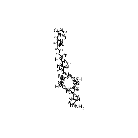 Nc1ncnc2c1ncn2[C@@H]1O[C@@H]2CO[P@@](=O)(S)O[C@H]3[C@@H](F)[C@H](n4cnc5c(NC(=O)CCCn6cc(CN7C(=O)C=CC7=O)nn6)ncnc54)O[C@@H]3CO[P@@](=O)(S)O[C@H]2[C@H]1F